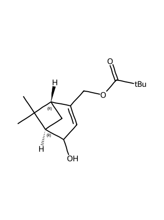 CC(C)(C)C(=O)OCC1=CC(O)[C@@H]2C[C@@H]1C2(C)C